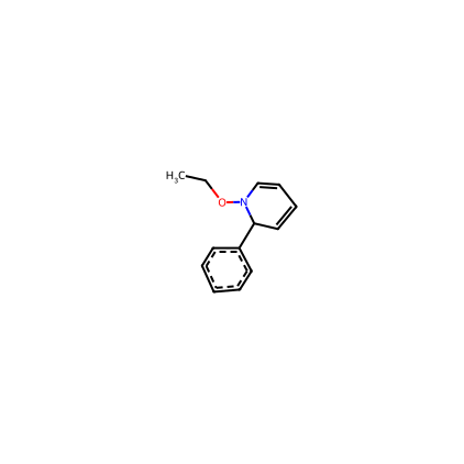 CCON1C=CC=CC1c1ccccc1